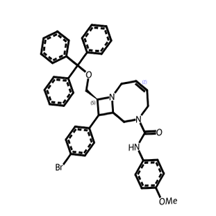 COc1ccc(NC(=O)N2C/C=C\CN3C(C2)C(c2ccc(Br)cc2)[C@H]3COC(c2ccccc2)(c2ccccc2)c2ccccc2)cc1